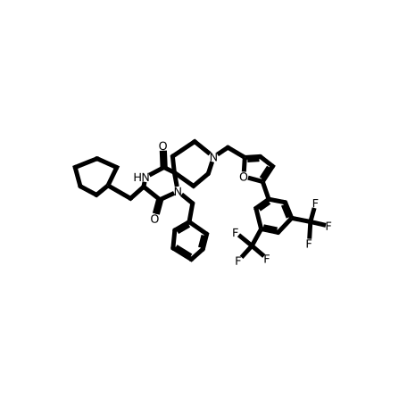 O=C1C(CC2CCCCC2)NC(=O)C2(CCN(Cc3ccc(-c4cc(C(F)(F)F)cc(C(F)(F)F)c4)o3)CC2)N1Cc1ccccc1